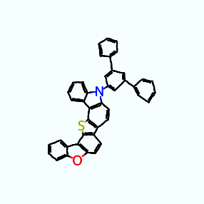 c1ccc(-c2cc(-c3ccccc3)cc(-n3c4ccccc4c4c5sc6c(ccc7oc8ccccc8c76)c5ccc43)c2)cc1